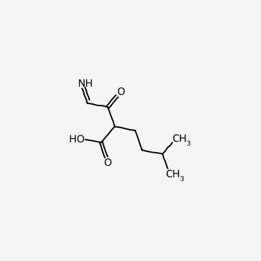 CC(C)CCC(C(=O)O)C(=O)C=N